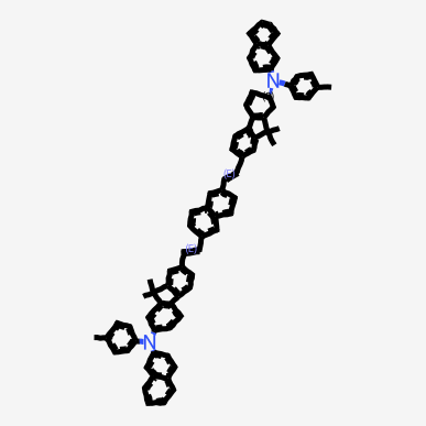 Cc1ccc(N(c2ccc3c(c2)C(C)(C)c2cc(/C=C/c4ccc5cc(/C=C/c6ccc7c(c6)C(C)(C)C6=C7C=C[C@@H](N(c7ccc(C)cc7)c7ccc8ccccc8c7)C6)ccc5c4)ccc2-3)c2ccc3ccccc3c2)cc1